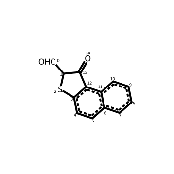 O=CC1Sc2ccc3ccccc3c2C1=O